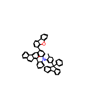 CC1CC=C(C2(c3ccccc3)c3ccccc3-c3ccccc32)C=C1N(c1ccc(-c2cccc3c2oc2ccccc23)cc1)c1ccccc1-c1cccc2c1ccc1ccccc12